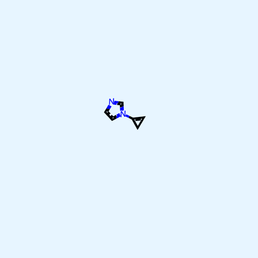 C1=C(n2ccnc2)C1